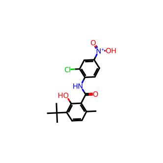 Cc1ccc(C(C)(C)C)c(O)c1C(=O)Nc1ccc([N+](=O)O)cc1Cl